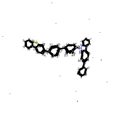 c1ccc(-c2ccc3c4ccccc4n(-c4ccc(-c5ccc(-c6ccc7c(c6)sc6ccccc67)cc5)cc4)c3c2)cc1